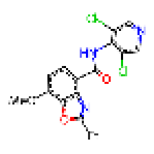 CCc1nc2c(C(=O)Nc3c(Cl)cncc3Cl)ccc(OC)c2o1